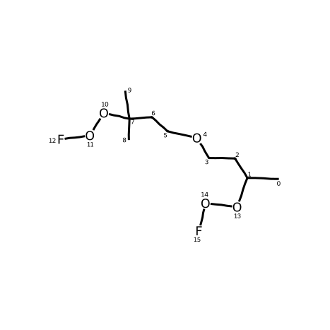 CC(CCOCCC(C)(C)OOF)OOF